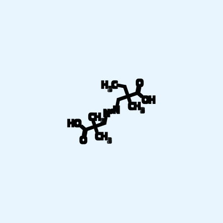 CCC(C)(CN=NCC(C)(C)C(=O)O)C(=O)O